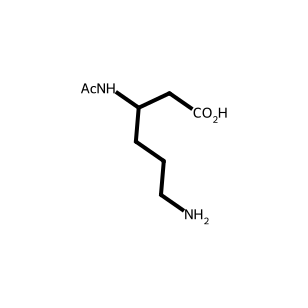 CC(=O)NC(CCCN)CC(=O)O